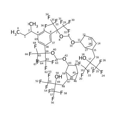 CCC(C)c1cc(C(OCOC2CC3CC(CC(O)(C(F)(F)F)C(F)(F)F)C2C3)(C(F)(F)F)C(F)(F)F)cc(C(OCOC2CC3CC(CC(O)(C(F)(F)F)C(F)(F)F)C2C3)(C(F)(F)F)C(F)(F)F)c1